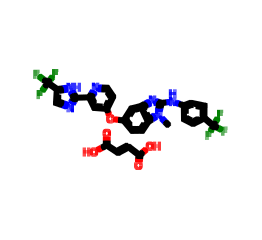 Cn1c(Nc2ccc(C(F)(F)F)cc2)nc2cc(Oc3ccnc(-c4ncc(C(F)(F)F)[nH]4)c3)ccc21.O=C(O)C=CC(=O)O